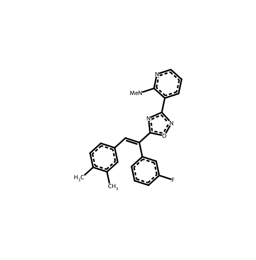 CNc1ncccc1-c1noc(C(=Cc2ccc(C)c(C)c2)c2cccc(F)c2)n1